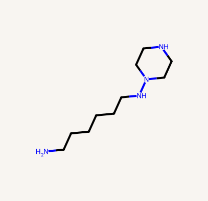 NCCCCCCNN1CCNCC1